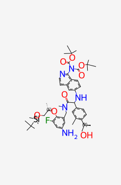 Cc1cc(C(Nc2ccc3c(N(C(=O)OC(C)(C)C)C(=O)OC(C)(C)C)nccc3c2)C(=O)N(C)Cc2cc(N)cc(F)c2O[C@@H](C)CO[Si](C)(C)C(C)(C)C)ccc1[C@@H](C)CO